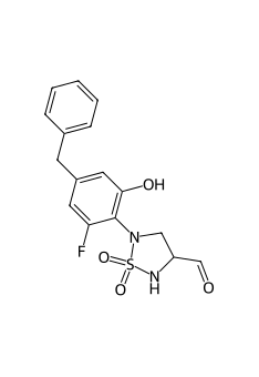 O=CC1CN(c2c(O)cc(Cc3ccccc3)cc2F)S(=O)(=O)N1